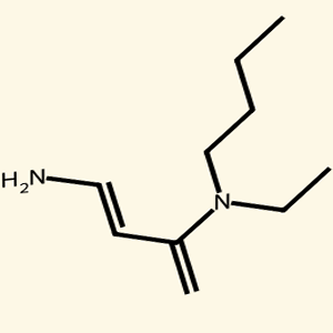 C=C(/C=C/N)N(CC)CCCC